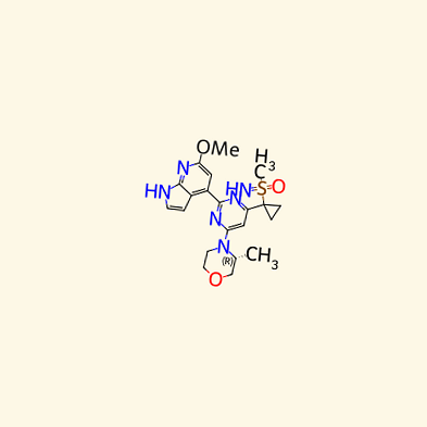 COc1cc(-c2nc(N3CCOC[C@H]3C)cc(C3(S(C)(=N)=O)CC3)n2)c2cc[nH]c2n1